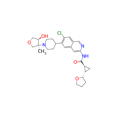 C[C@]1(N2CCC(c3cc4cc(NC(=O)[C@H]5C[C@@H]5C5CCCO5)ncc4cc3Cl)CC2)COC[C@H]1O